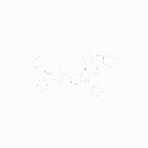 c1ccc(-n2c3ccc(-c4ccc5c(c4)c4ccccc4n5-c4ccncc4)cc3c3c4cccc5c4c(cc32)-c2ccccc2O5)cc1